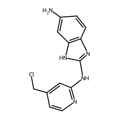 Nc1ccc2nc(Nc3cc(CCl)ccn3)[nH]c2c1